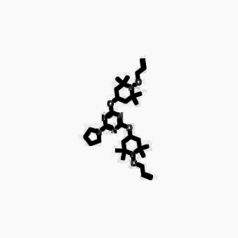 C=CCON1C(C)(C)CC(Oc2nc(OC3CC(C)(C)N(OCC=C)C(C)(C)C3)nc(N3CCCC3)n2)CC1(C)C